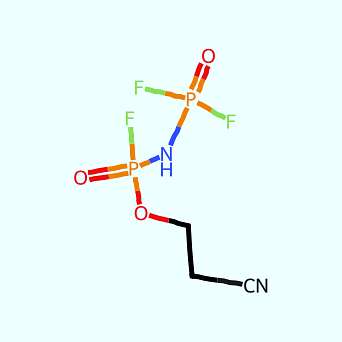 N#CCCOP(=O)(F)NP(=O)(F)F